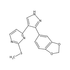 CSc1nccc(-c2c[nH]nc2-c2ccc3c(c2)OCO3)n1